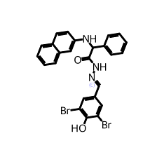 O=C(N/N=C/c1cc(Br)c(O)c(Br)c1)C(Nc1ccc2ccccc2c1)c1ccccc1